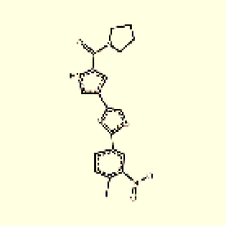 Cc1ccc(-c2nc(-c3c[nH]c(C(=O)N4CCCC4)c3)cs2)cc1[N+](=O)[O-]